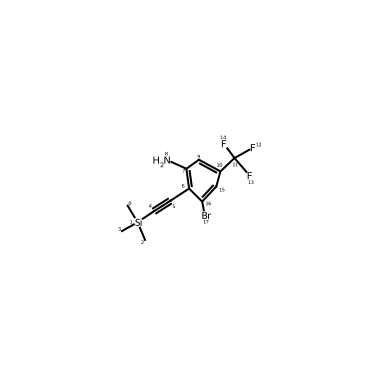 C[Si](C)(C)C#Cc1c(N)cc(C(F)(F)F)cc1Br